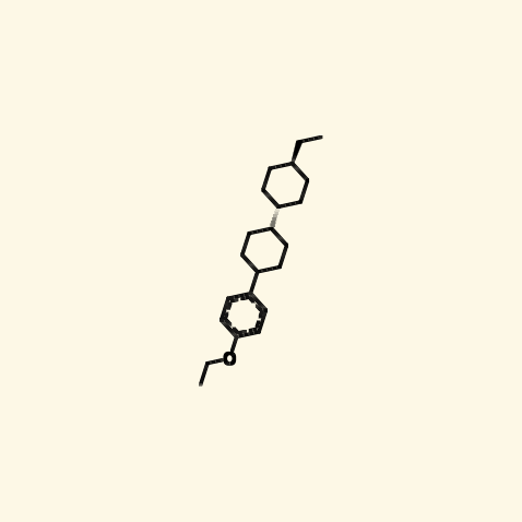 CCOc1ccc(C2CCC([C@H]3CC[C@H](CC)CC3)CC2)cc1